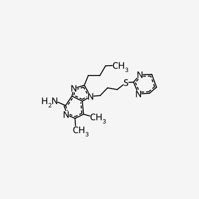 CCCCc1nc2c(N)nc(C)c(C)c2n1CCCSc1ncccn1